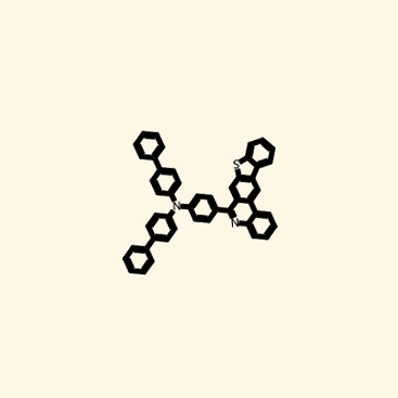 c1ccc(-c2ccc(N(c3ccc(-c4ccccc4)cc3)c3ccc(-c4nc5ccccc5c5cc6c(cc45)sc4ccccc46)cc3)cc2)cc1